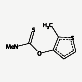 CNC(=S)Oc1ccsc1C